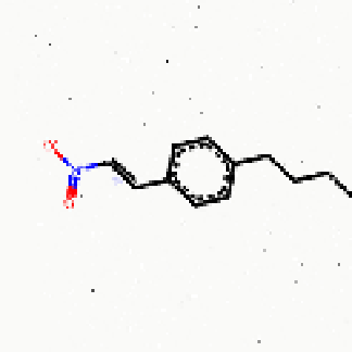 CCCCc1ccc(/C=C/[N+](=O)[O-])cc1